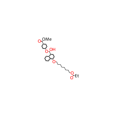 CCC(=O)OCCCCCCCCOc1ccc(C(O)Oc2ccc(C(=O)OC)cc2)c2ccccc12